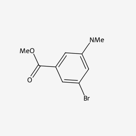 CNc1cc(Br)cc(C(=O)OC)c1